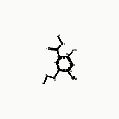 CCOc1cc(C(=O)OC)c(F)cc1N